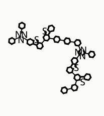 c1ccc(-c2cccc(-c3cc(-c4cccc5c4sc4cc(-c6nc(-c7ccccc7)nc(-c7cccc(-c8ccc(-c9ccc(-c%10cc(-c%11cccc%12c%11sc%11cc(-c%13nc(-c%14ccccc%14)nc(-c%14ccccc%14)n%13)ccc%11%12)cc%11sc%12ccccc%12c%10%11)cc9)cc8)c7)n6)ccc45)cc4c3sc3ccccc34)c2)cc1